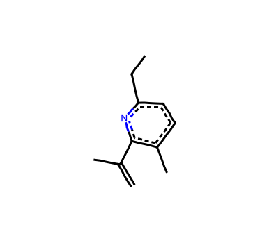 C=C(C)c1nc(CC)ccc1C